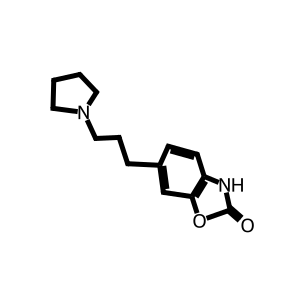 O=c1[nH]c2ccc(CCCN3CCCC3)cc2o1